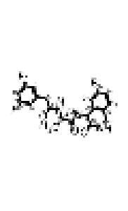 C[C@H](NC(=O)Cc1cc(F)cc(F)c1)C(=O)NC1C(=O)NCc2ccc(F)cc21